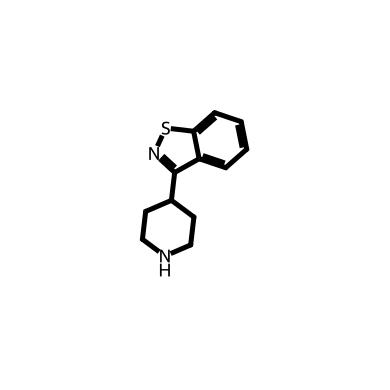 c1ccc2c(C3CCNCC3)nsc2c1